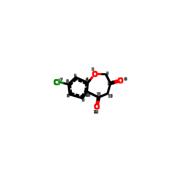 O=C1COc2cc(Cl)ccc2C(=O)C1